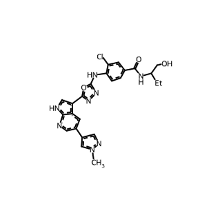 CCC(CO)NC(=O)c1ccc(Nc2nnc(-c3c[nH]c4ncc(-c5cnn(C)c5)cc34)o2)c(Cl)c1